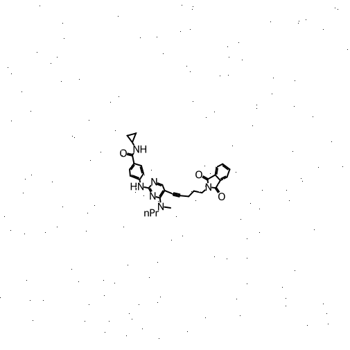 CCCN(C)c1nc(Nc2ccc(C(=O)NC3CC3)cc2)ncc1C#CCCCN1C(=O)c2ccccc2C1=O